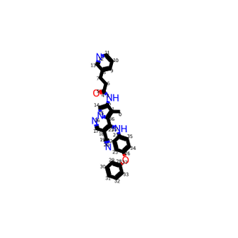 Cc1c(NC(=O)CCc2cccnc2)cn2ncc(C#N)c(Nc3ccc(Oc4ccccc4)cc3)c12